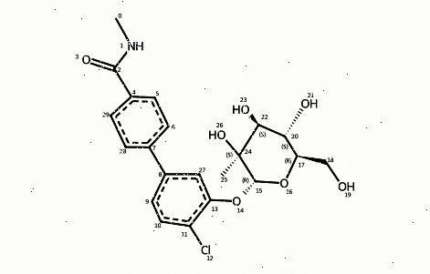 CNC(=O)c1ccc(-c2ccc(Cl)c(O[C@H]3O[C@H](CO)[C@@H](O)[C@H](O)[C@]3(C)O)c2)cc1